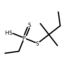 CCC(C)(C)SP(=S)(S)CC